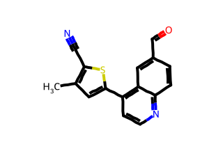 Cc1cc(-c2ccnc3ccc(C=O)cc23)sc1C#N